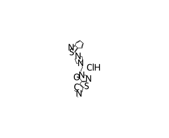 CN1CCc2c(sc3ncn(CCN4CCN(c5snc6ccccc56)CC4)c(=O)c23)C1.Cl